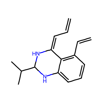 C=C/C=C1/NC(C(C)C)Nc2cccc(C=C)c21